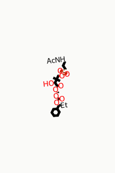 CCC(OC(=O)OCOC(=O)[C@H](O)C(C)(C)COS(=O)(=O)CCCNC(C)=O)C1CCCCC1